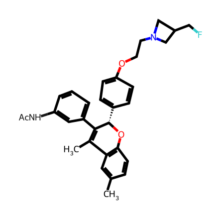 CC(=O)Nc1cccc(C2=C(C)c3cc(C)ccc3O[C@H]2c2ccc(OCCN3CC(CF)C3)cc2)c1